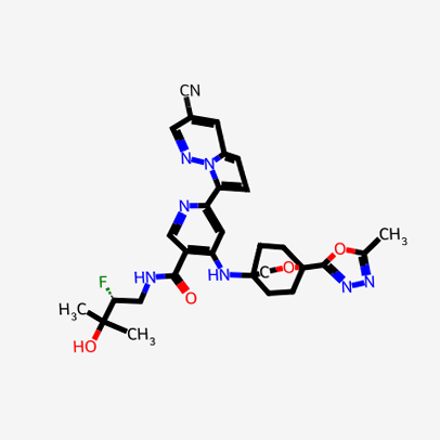 Cc1nnc(C23CCC(Nc4cc(-c5ccc6cc(C#N)cnn56)ncc4C(=O)NC[C@@H](F)C(C)(C)O)(CC2)CO3)o1